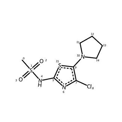 CS(=O)(=O)Nc1nc(Cl)c(N2CCCC2)s1